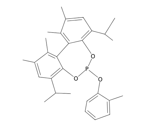 Cc1ccccc1Op1oc2c(C(C)C)cc(C)c(C)c2c2c(C)c(C)cc(C(C)C)c2o1